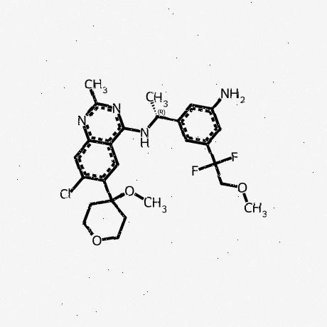 COCC(F)(F)c1cc(N)cc([C@@H](C)Nc2nc(C)nc3cc(Cl)c(C4(OC)CCOCC4)cc23)c1